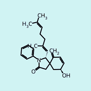 C=C1C=C[C@@H](O)CC12CC(=O)N(c1ccccc1)[C@@H]2/C=C(\C)CCC=C(C)C